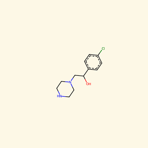 OC(CN1CCNCC1)c1ccc(Cl)cc1